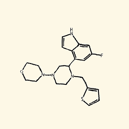 Fc1cc(C2CN(N3CCOCC3)CCN2Cc2cccs2)c2cc[nH]c2c1